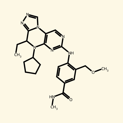 CCC1c2nncn2-c2cnc(Nc3ccc(C(=O)NC)cc3COC)nc2N1C1CCCC1